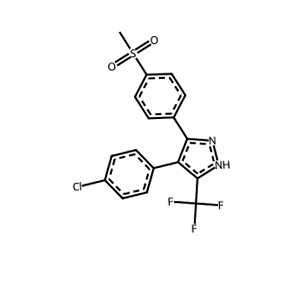 CS(=O)(=O)c1ccc(-c2n[nH]c(C(F)(F)F)c2-c2ccc(Cl)cc2)cc1